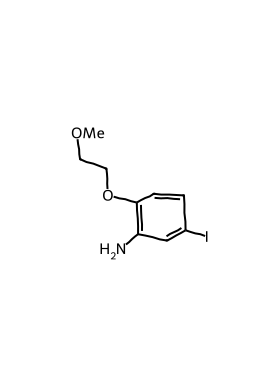 COCCOc1ccc(I)cc1N